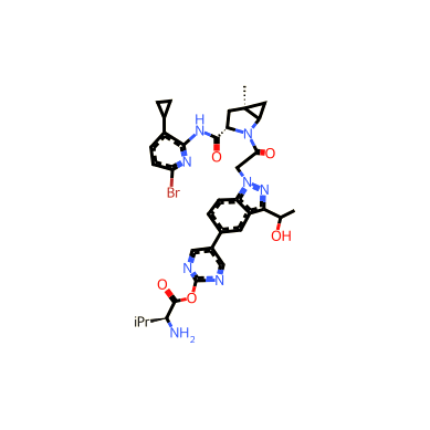 CC(O)c1nn(CC(=O)N2C3C[C@]3(C)C[C@H]2C(=O)Nc2nc(Br)ccc2C2CC2)c2ccc(-c3cnc(OC(=O)[C@@H](N)C(C)C)nc3)cc12